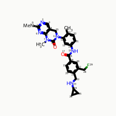 CNc1ncc2c(n1)N(C)C(=O)N(c1cc(NC(=O)c3ccc(CNC4CC4)c(CF)c3)ccc1C)C2